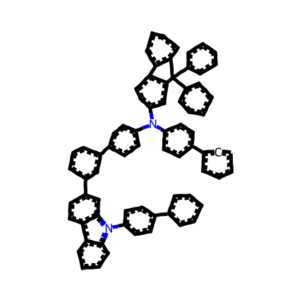 c1ccc(-c2ccc(N(c3ccc(-c4cccc(-c5ccc6c7ccccc7n(-c7ccc(-c8ccccc8)cc7)c6c5)c4)cc3)c3ccc4c(c3)C(c3ccccc3)(c3ccccc3)c3ccccc3-4)cc2)cc1